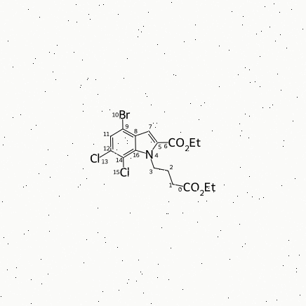 CCOC(=O)CCCn1c(C(=O)OCC)cc2c(Br)cc(Cl)c(Cl)c21